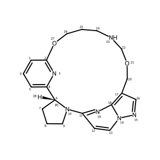 c1cc2nc(c1)[C@H]1CCCN1c1ccn3ncc(c3n1)COCNCCCO2